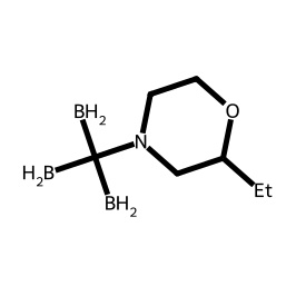 BC(B)(B)N1CCOC(CC)C1